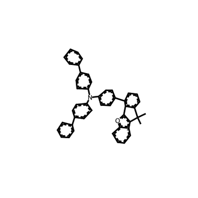 CC1(C)c2cccc(-c3ccc(N(c4ccc(-c5ccccc5)cc4)c4ccc(-c5ccccc5)cc4)cc3)c2-c2oc3ccccc3c21